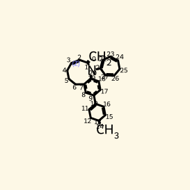 C=C1/C=C\CCCc2cc(C3=CCC(C)C=C3)ccc2N1C1=CC=CCC=C1